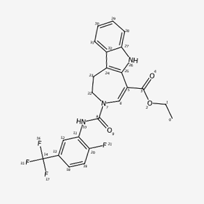 CCOC(=O)C1=CN(C(=O)Nc2cc(C(F)(F)F)ccc2F)CCc2c1[nH]c1ccccc21